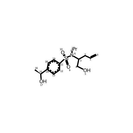 C=CCC(CO)N(C(C)C)S(=O)(=O)c1ccc([C@H](C)O)cc1